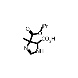 CC(C)OC(=O)C1(C)N=CNC1C(=O)O